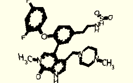 CN1CCN(Cc2c[nH]c3c(=O)n(C)cc(-c4cc(CCN[SH](=O)=O)ccc4Oc4ccc(F)cc4F)c23)CC1